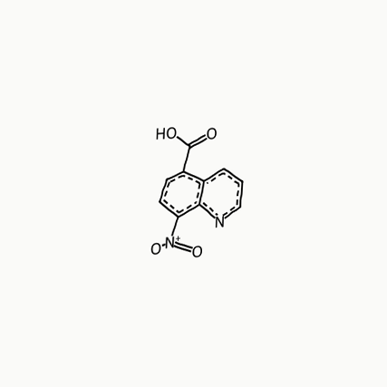 O=C(O)c1ccc([N+](=O)[O-])c2ncccc12